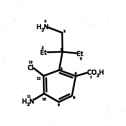 CCC(CC)(CN)c1c(C(=O)O)ccc(N)c1Cl